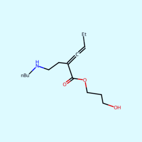 CCC=C=C(CCNCCCC)C(=O)OCCCO